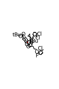 Cc1ccc(F)c(OCCCc2coc(C3=C(C(=O)N(Cc4cccc(Cl)c4Cl)C4CC4)C4CN(C(=O)OC(C)(C)C)CC(C3)N4C(=O)OC(C)(C)C)n2)c1Cl